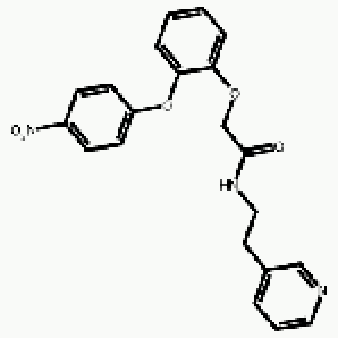 O=C(COc1ccccc1Oc1ccc([N+](=O)[O-])cc1)NCCc1cccnc1